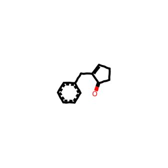 O=C1CCC=C1Cc1ccccc1